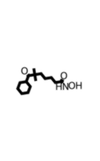 CC(C)(CCCCC(=O)NO)C(=O)C1CCCCC1